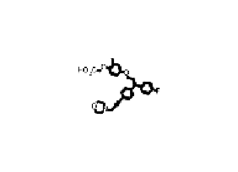 Cc1cc(OCC=C(c2ccc(F)cc2)c2ccc(C#CCN3CCOCC3)cc2)ccc1OCC(=O)O